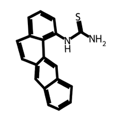 NC(=S)Nc1cccc2ccc3cc4ccccc4cc3c12